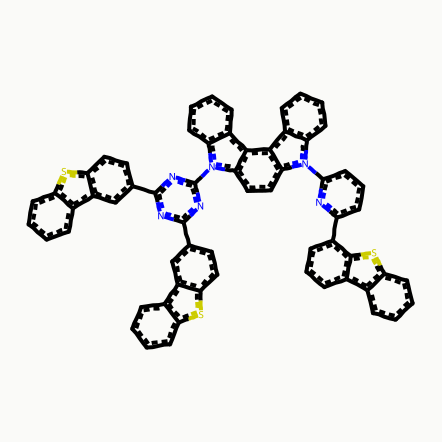 c1cc(-c2cccc3c2sc2ccccc23)nc(-n2c3ccccc3c3c4c5ccccc5n(-c5nc(-c6ccc7sc8ccccc8c7c6)nc(-c6ccc7sc8ccccc8c7c6)n5)c4ccc32)c1